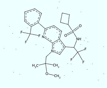 COC(C)(C)Cn1cc(C(NS(=O)(=O)C2CCC2)C(F)(F)F)c2ccc(-c3ccccc3C(F)(F)F)nc21